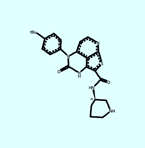 CC(C)(C)c1ccc(N2C(=O)Nc3c(C(=O)N[C@@H]4CCCNC4)sc4nccc2c34)cc1